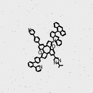 CC(C)c1ncc(-c2cc3oc4c(N5c6ccccc6C=C6C(c7c8ccccc8cc8ccccc78)=CC=CC65)ccc5c6cc(-c7ccc(-c8ccncc8)cc7)cc7oc8c(-c9ccc(-c%10ccccc%10-c%10cccnc%10)cc9)ccc(c(c2)c3c45)c8c76)cn1